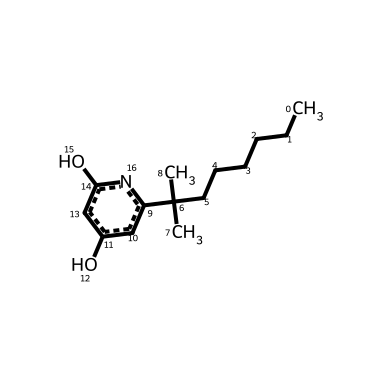 CCCCCCC(C)(C)c1cc(O)cc(O)n1